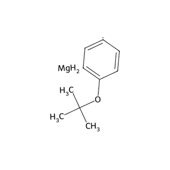 CC(C)(C)Oc1cc[c]cc1.[MgH2]